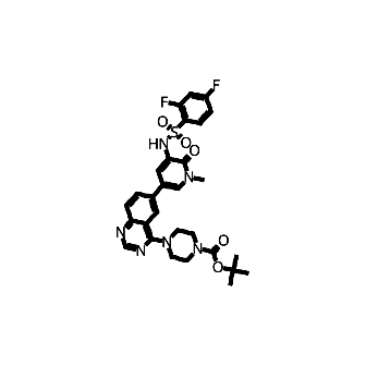 Cn1cc(-c2ccc3ncnc(N4CCN(C(=O)OC(C)(C)C)CC4)c3c2)cc(NS(=O)(=O)c2ccc(F)cc2F)c1=O